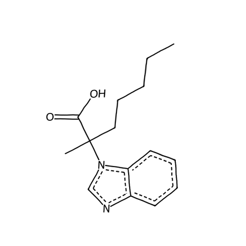 CCCCCC(C)(C(=O)O)n1cnc2ccccc21